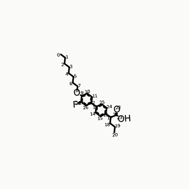 CCCCCCCCOc1ccc(-c2ccc(C(CCC)C(=O)O)cc2)cc1F